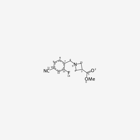 COC(=O)C1CN(Cc2ccc(C#N)cc2F)C1